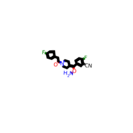 N#Cc1cc(C(ON)=C2CCN(C(=O)Cc3ccc(F)cc3)CC2)ccc1F